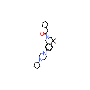 CC1(C)CN(C(=O)CC2CCCC2)Cc2cc(N3CCN(C4CCCC4)CC3)ccc21